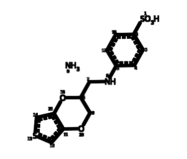 N.O=S(=O)(O)c1ccc(NCC2COc3cscc3O2)cc1